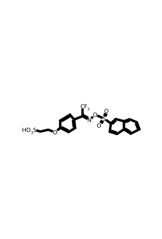 O=S(=O)(O)CCOc1ccc(/C(=N/OS(=O)(=O)c2ccc3ccccc3c2)C(F)(F)F)cc1